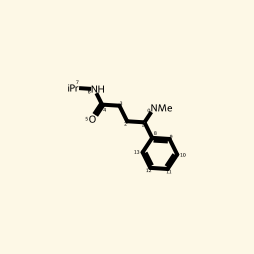 CNC(CCC(=O)NC(C)C)c1ccccc1